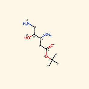 CC(C)(C)OC(=O)CC(N)C(O)CN